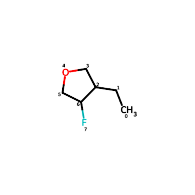 CCC1COCC1F